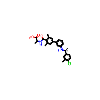 Cc1cc([C@H](C)Nc2cccc(-c3cc(C)c(C(=O)NC(C)C(=O)O)c(C)c3)c2)ccc1Cl